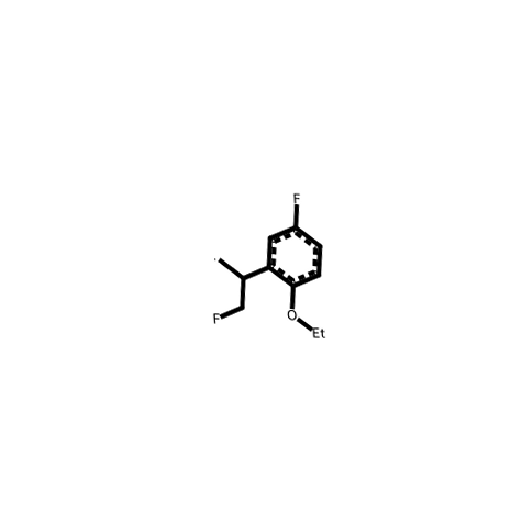 [CH2]C(CF)c1cc(F)ccc1OCC